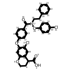 O=C(O)C1CCOc2cc(Oc3ccc(C(=O)N(CCc4ccccc4)Oc4ccc(Cl)cc4)cc3)c(Cl)cc21